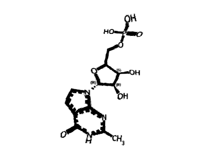 Cc1nc2c(ccn2[C@@H]2OC(COP(=O)(O)O)[C@@H](O)[C@H]2O)c(=O)[nH]1